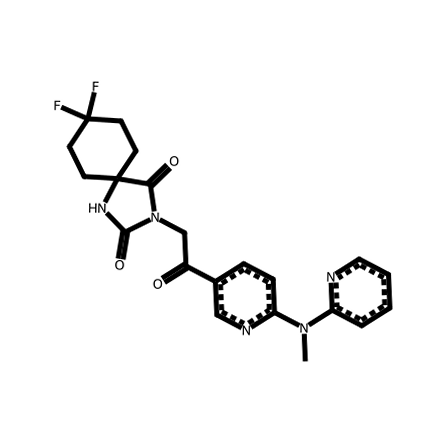 CN(c1ccccn1)c1ccc(C(=O)CN2C(=O)NC3(CCC(F)(F)CC3)C2=O)cn1